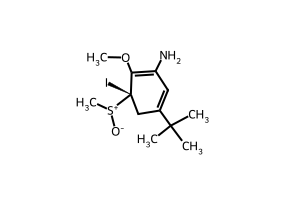 COC1=C(N)C=C(C(C)(C)C)C[C@]1(I)[S+](C)[O-]